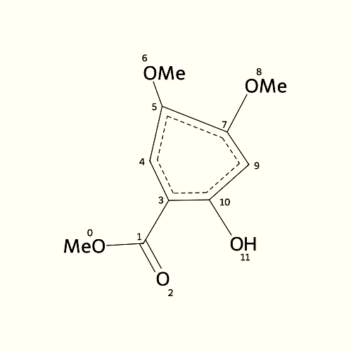 COC(=O)c1cc(OC)c(OC)cc1O